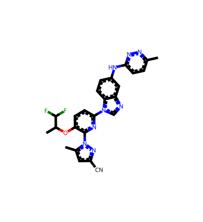 Cc1ccc(Nc2ccc3c(c2)ncn3-c2ccc(OC(C)C(F)F)c(-n3nc(C#N)cc3C)n2)nn1